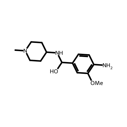 COc1cc(C(O)NC2CCN(C)CC2)ccc1N